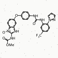 COC(=O)Nc1[nH]c2cc(Oc3ccc(NC(=O)Nc4cc(C(F)(F)F)ccc4-n4cccn4)cc3)ccc2[n+]1[O-]